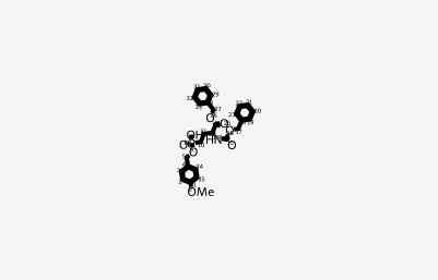 COc1ccc(COP(=O)(O)CCC(NC(=O)OCc2ccccc2)C(=O)OCc2ccccc2)cc1